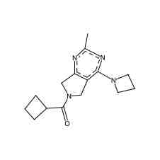 Cc1nc2c(c(N3CCC3)n1)CN(C(=O)C1CCC1)C2